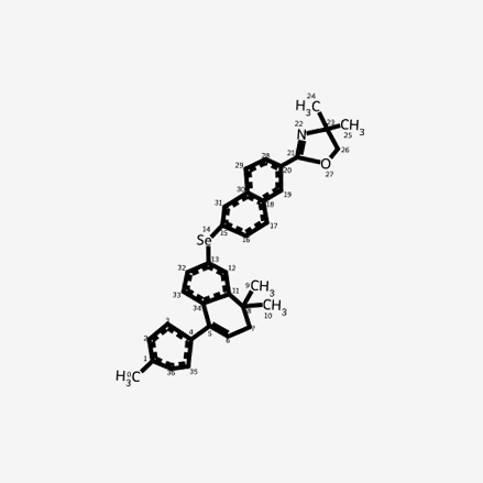 Cc1ccc(C2=CCC(C)(C)c3cc([Se]c4ccc5cc(C6=NC(C)(C)CO6)ccc5c4)ccc32)cc1